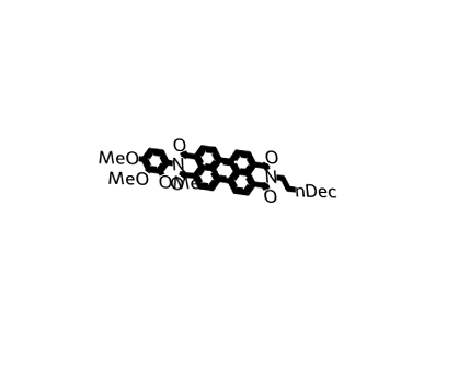 CCCCCCCCCCCCN1C(=O)c2ccc3c4ccc5c6c(ccc(c7ccc(c2c37)C1=O)c64)C(=O)N(c1ccc(OC)c(OC)c1OC)C5=O